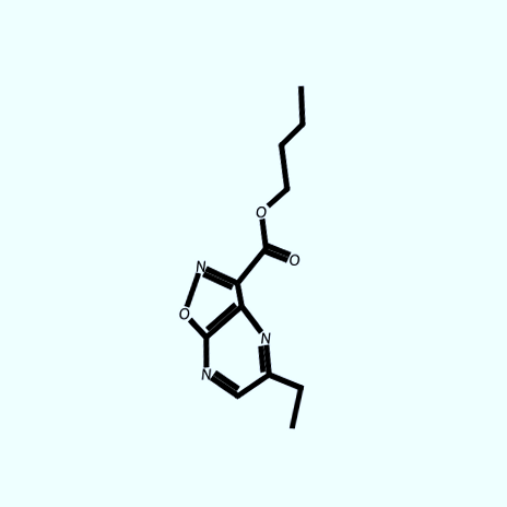 CCCCOC(=O)c1noc2ncc(CC)nc12